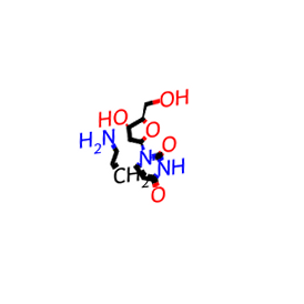 C=CCN.O=c1ccn([C@H]2C[C@H](O)[C@@H](CO)O2)c(=O)[nH]1